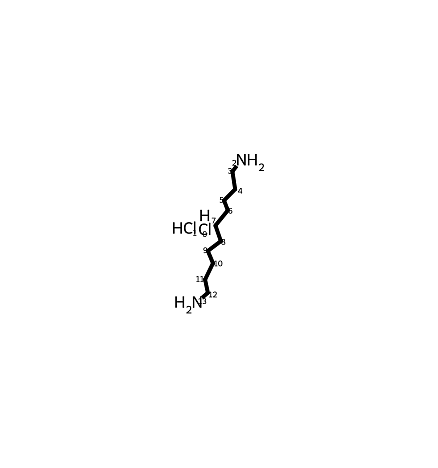 Cl.Cl.NCCCCCCCCCCN